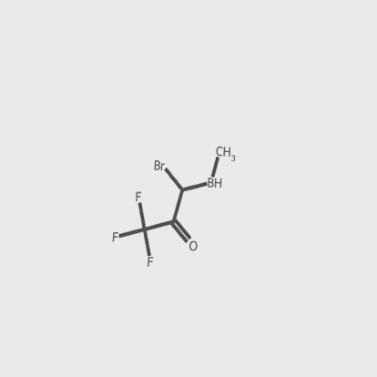 CBC(Br)C(=O)C(F)(F)F